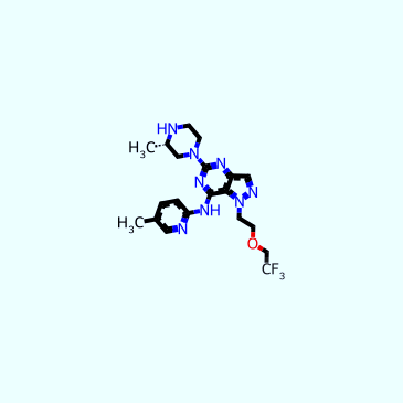 Cc1ccc(Nc2nc(N3CCN[C@@H](C)C3)nc3cnn(CCOCC(F)(F)F)c23)nc1